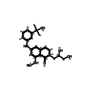 CC(C)(C)Nc1nc(Nc2cc(C(C)(C)O)ncn2)cc2ccn(CC(O)CO)c(=O)c12